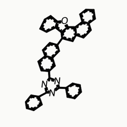 c1ccc(-c2nc(-c3ccccc3)nc(-c3ccc4ccc(-c5cc6ccc7ccccc7c6c6oc7ccccc7c56)cc4c3)n2)cc1